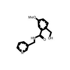 COc1ccc(CO)c(C(=O)NCc2cccnc2)c1